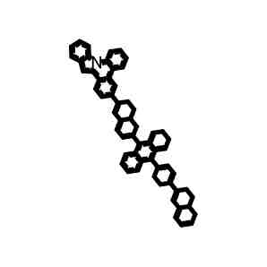 C1=CCC2CCC(C3=CC=C(c4c5c(c(C6=CC=C7C=C(c8ccc9c(c8)c8ccccc8n8c%10ccccc%10cc98)CCC7C6)c6ccccc46)=CCCC=5)CC3)=CC2=C1